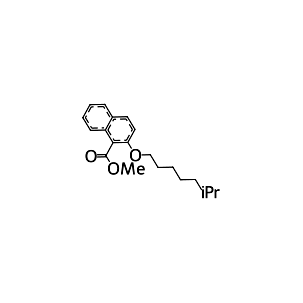 COC(=O)c1c(OCCCCCC(C)C)ccc2ccccc12